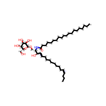 CCC/C=C\CCCCCCCC/C=C/[C@@H](O)[C@H](CO[C@@H]1O[C@H](CO)[C@@H](O)C(O)C1O)NC(=O)CCCCCCCCCCCCCCCCCCC